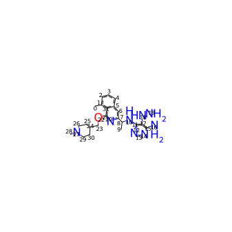 Cc1cccc2cc(C(C)Nc3ncnc(N)c3NN)nc(OCC3CCN(C)CC3)c12